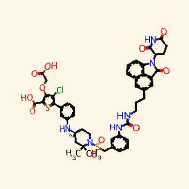 CC1(C)C[C@@H](Nc2cccc(-c3sc(C(=O)O)c(OCC(=O)O)c3Cl)c2)CCN1S(=O)(=O)Cc1cccc(NC(=O)NCCCc2cc3c4c(cccc4c2)N(C2CCC(=O)NC2=O)C3=O)c1